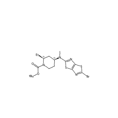 CC[C@H]1C[C@@H](N(C)c2nc3sc(Br)nc3s2)CCN1C(=O)OC(C)(C)C